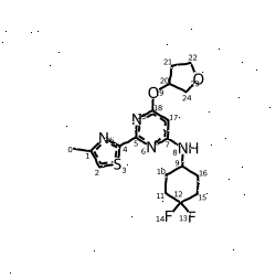 Cc1csc(-c2nc(NC3CCC(F)(F)CC3)cc(OC3CCOC3)n2)n1